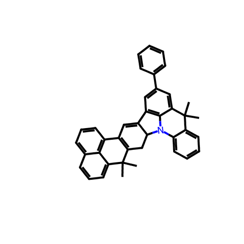 CC1(C)C2=C(C=C3c4cc(-c5ccccc5)cc5c4N(c4ccccc4C5(C)C)C3C2)c2cccc3cccc1c23